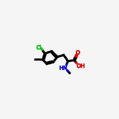 CNC(Cc1ccc(C)c(Cl)c1)C(=O)O